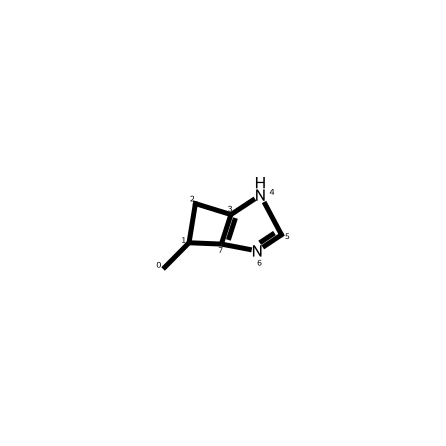 CC1Cc2[nH]cnc21